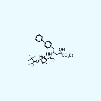 CCOC(=O)[C@H](O)CC(Cc1ccc(-c2ccccc2)cc1)NC(=O)c1nc[nH]n1.O=C(O)C(F)(F)F